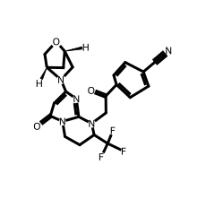 N#Cc1ccc(C(=O)CN2c3nc(N4C[C@@H]5C[C@H]4CO5)cc(=O)n3CCC2C(F)(F)F)cc1